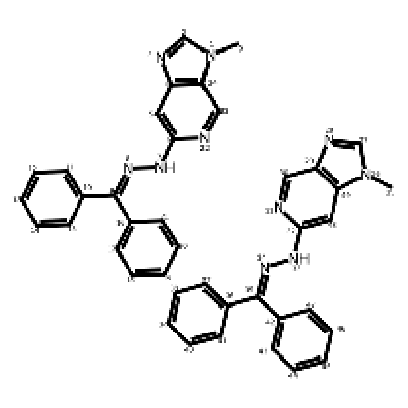 Cn1cnc2cc(NN=C(c3ccccc3)c3ccccc3)ncc21.Cn1cnc2cnc(NN=C(c3ccccc3)c3ccccc3)cc21